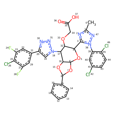 Cc1nc(C2OC3OC(c4ccccc4)OC3C(n3cc(-c4cc(F)c(Cl)c(F)c4)nn3)C2OCC(=O)O)n(-c2cc(Cl)ccc2Cl)n1